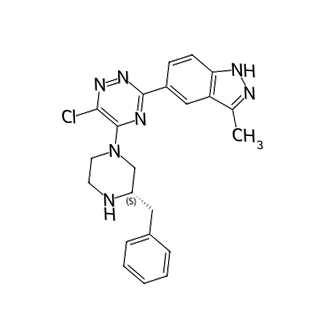 Cc1n[nH]c2ccc(-c3nnc(Cl)c(N4CCN[C@@H](Cc5ccccc5)C4)n3)cc12